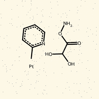 Cc1ccccn1.NOC(=O)C(O)O.[Pt]